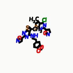 Cc1csc2nc(-c3ccno3)nc(Cl)c12.Cc1csc2nc(-c3ccno3)nc(NCCc3ccc4c(c3)OCO4)c12